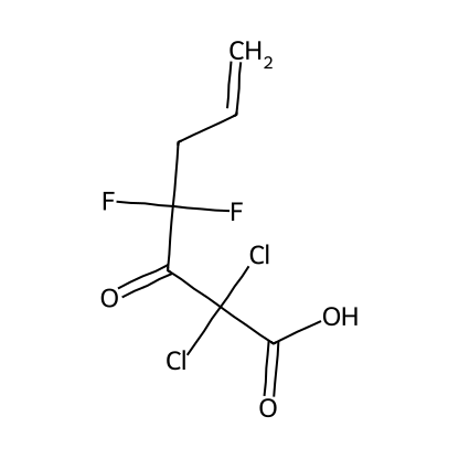 C=CCC(F)(F)C(=O)C(Cl)(Cl)C(=O)O